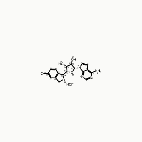 Cl.Nc1ncnc2c1ccn2[C@@H]1O[C@H]([C@H]2OCc3cc(Cl)ccc32)[C@@H](O)[C@H]1O